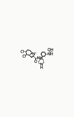 CC(O)Nc1cccc(C2(NC(=O)c3cc4c(Cl)c(Cl)ccc4n3C)CCNCC2)c1